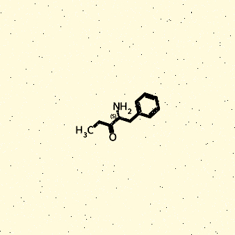 CCC(=O)[C@@H](N)Cc1ccccc1